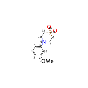 COc1cccc(N2CCS(=O)(=O)CC2)c1